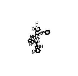 COc1cccc2[nH]c(C(=O)N3C[C@@H]4CCC[C@@H]4[C@H]3C(=O)N[C@@H](C[C@@H]3CCCNC3=O)C(=O)COCc3ccccc3)cc12